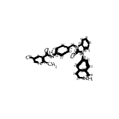 Cc1ncc(Cl)cc1C(=O)NC1CCC(Cn2c(=O)n(-c3ccc4c(c3)CCNC4)c3ccccc32)CC1